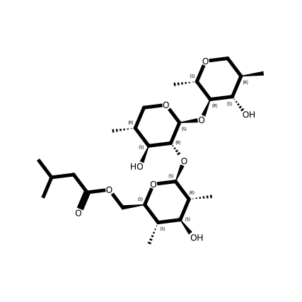 CC(C)CC(=O)OC[C@H]1O[C@@H](O[C@H]2[C@H](O[C@@H]3[C@@H](O)[C@H](C)CO[C@H]3C)OC[C@@H](C)[C@@H]2O)[C@H](C)[C@@H](O)[C@@H]1C